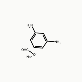 Nc1cccc(N)c1.O=C[O-].[Na+]